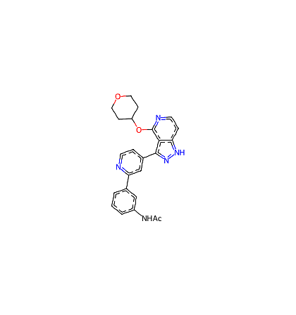 CC(=O)Nc1cccc(-c2cc(-c3n[nH]c4ccnc(OC5CCOCC5)c34)ccn2)c1